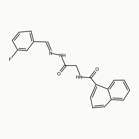 O=C(CNC(=O)c1cccc2ccccc12)NN=Cc1cccc(F)c1